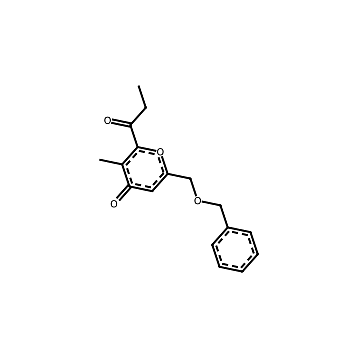 CCC(=O)c1oc(COCc2ccccc2)cc(=O)c1C